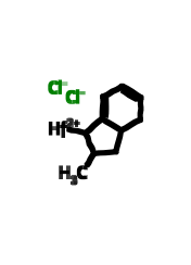 CC1CC2CC=CC=C2[CH]1[Hf+2].[Cl-].[Cl-]